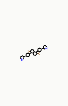 c1cncc(-c2ccc3c(c2)sc2ccc4c(ccc5sc6cc(-c7cccnc7)ccc6c54)c23)c1